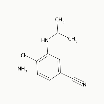 CC(C)Nc1cc(C#N)ccc1Cl.N